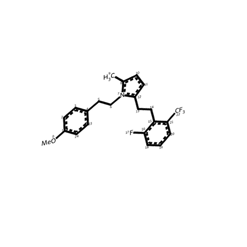 COc1ccc(CCn2c(C)ccc2CCc2c(F)cccc2C(F)(F)F)cc1